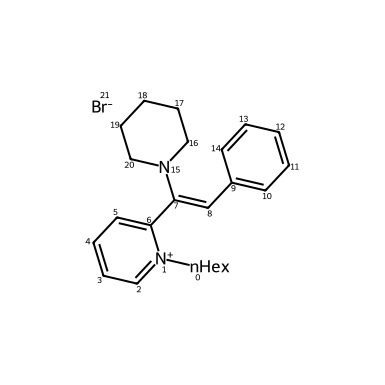 CCCCCC[n+]1ccccc1C(=Cc1ccccc1)N1CCCCC1.[Br-]